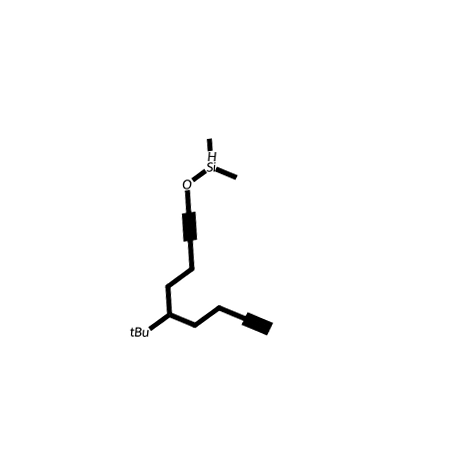 C#CCCC(CCC#CO[SiH](C)C)C(C)(C)C